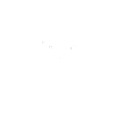 [CH2]C1C(=O)C2CCC1C2(C)C